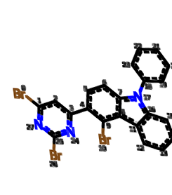 Brc1cc(-c2ccc3c(c2Br)c2ccccc2n3-c2ccccc2)nc(Br)n1